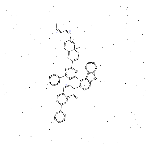 C=Cc1cc(-c2ccccc2)ccc1/C=C\Cc1ccc2oc3ccccc3c2c1-c1nc(C2=CCC3(C)C=C(/C=C\C=C/C)C=CC3=C2)nc(-c2ccccc2)n1